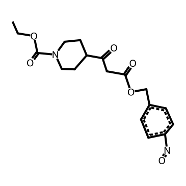 CCOC(=O)N1CCC(C(=O)CC(=O)OCc2ccc(N=O)cc2)CC1